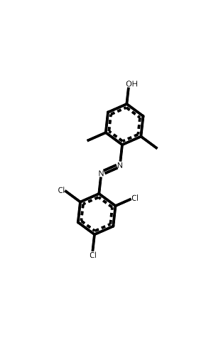 Cc1cc(O)cc(C)c1/N=N/c1c(Cl)cc(Cl)cc1Cl